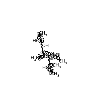 Cc1ccc(S(=O)(=O)NC(=O)OC(CCCC2CC(CCCC(O)CC3CCOC(c4cc(S(C)(=O)=O)ccc4O)O3)OC(c3cc(S(C)(=O)=O)ccc3O)O2)CC(O)CC(O)CCCC2CC(C)OC(c3cc(S(C)(=O)=O)ccc3O)O2)cc1